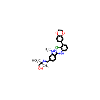 Cn1nc(Nc2cccc(-c3ccc4c(c3)OCCO4)c2Cl)c2ccc(C=NC(C)(CO)C(=O)O)cc21